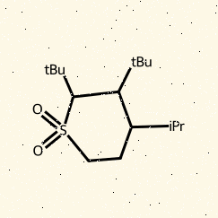 CC(C)C1CCS(=O)(=O)C(C(C)(C)C)C1C(C)(C)C